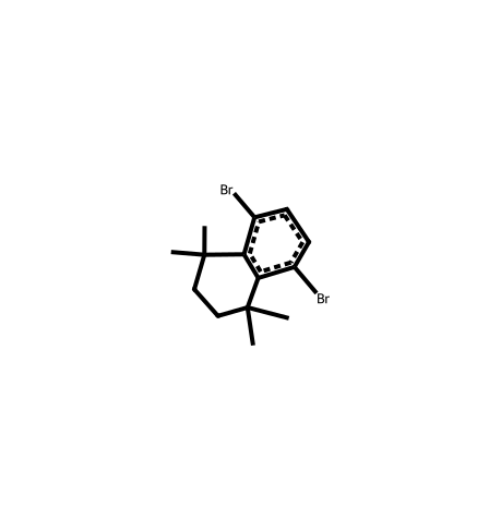 CC1(C)CCC(C)(C)c2c(Br)ccc(Br)c21